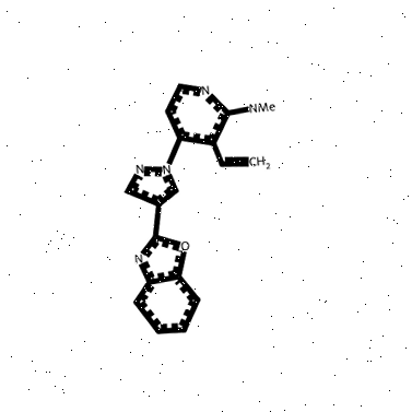 C=Cc1c(-n2cc(-c3nc4ccccc4o3)cn2)ccnc1NC